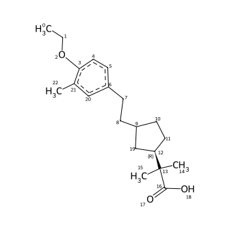 CCOc1ccc(CCC2CC[C@@H](C(C)(C)C(=O)O)C2)cc1C